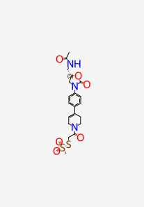 CC(=O)NC[C@H]1CN(c2ccc(C3=CCN(C(=O)CSS(C)(=O)=O)CC3)cc2)C(=O)O1